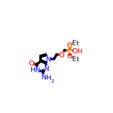 CCO[PH](O)(COCCn1ccc2c(=O)[nH]c(N)nc21)OCC